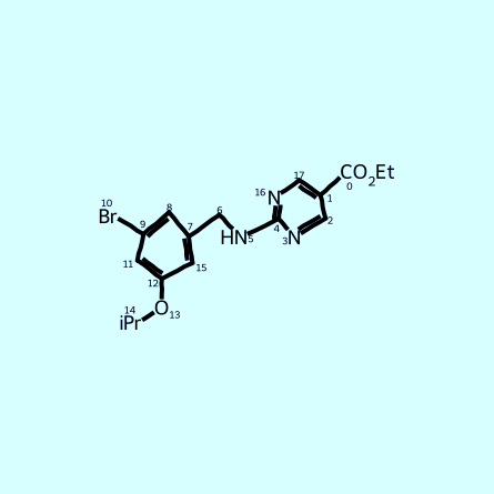 CCOC(=O)c1cnc(NCc2cc(Br)cc(OC(C)C)c2)nc1